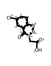 O=C(O)Cn1nnc2ccc(Cl)cc2c1=O